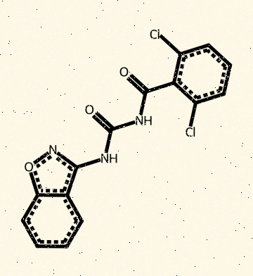 O=C(NC(=O)c1c(Cl)cccc1Cl)Nc1noc2ccccc12